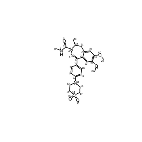 CNC(=O)N1N=C(c2ccc(N3CCS(=O)(=O)CC3)cc2)c2cc(OC)c(OC)cc2CC1C